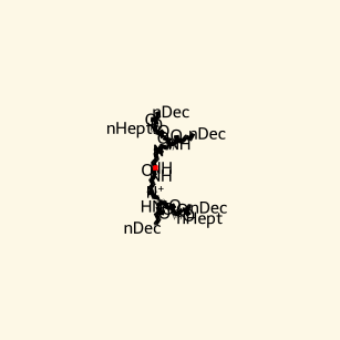 CCCCCCCCCCCCCC(=O)N[C@@H](CC[N+](C)(C)CCCNC(=O)NCCC[N+](C)(C)CC[C@@H](COC(=O)C[C@@H](CCCCCCC)OC(=O)CCCCCCCCCCC)NC(=O)CCCCCCCCCCCCC)COC(=O)C[C@@H](CCCCCCC)OC(=O)CCCCCCCCCCC